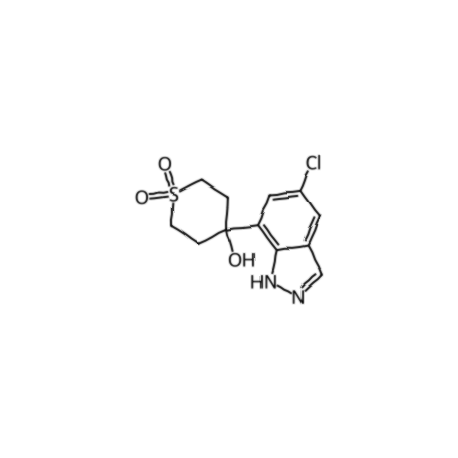 O=S1(=O)CCC(O)(c2cc(Cl)cc3cn[nH]c23)CC1